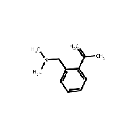 C=C(C)c1ccccc1CN(C)C